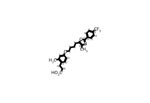 Cc1cc(OCCCCc2oc(-c3ccc(C(F)(F)F)cc3)nc2C)ccc1CCC(=O)O